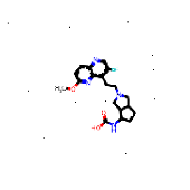 COc1ccc2ncc(F)c(CCN3CC4CCC(NC(=O)O)C4C3)c2n1